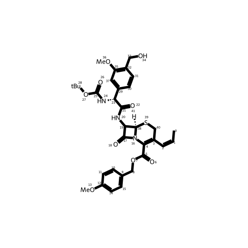 C/C=C\C1=C(C(=O)OCc2ccc(OC)cc2)N2C(=O)C(NC(=O)[C@H](NC(=O)OC(C)(C)C)c3ccc(CO)c(OC)c3)[C@H]2SC1